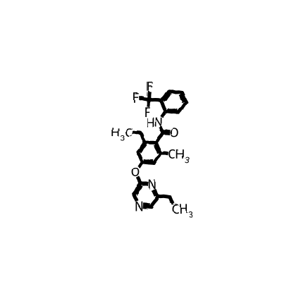 CCc1cncc(Oc2cc(C)c(C(=O)Nc3ccccc3C(F)(F)F)c(CC)c2)n1